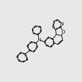 C1=CC2Oc3ncccc3C2c2cc(N(c3ccccc3)c3ccc(-c4ccccc4)cc3)ccc21